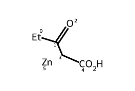 CCC(=O)CC(=O)O.[Zn]